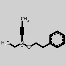 CC#C[SiH](CC)OCCc1ccccc1